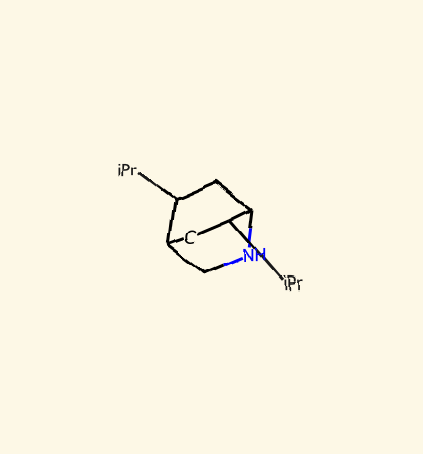 CC(C)C1CC2NCC1CC2C(C)C